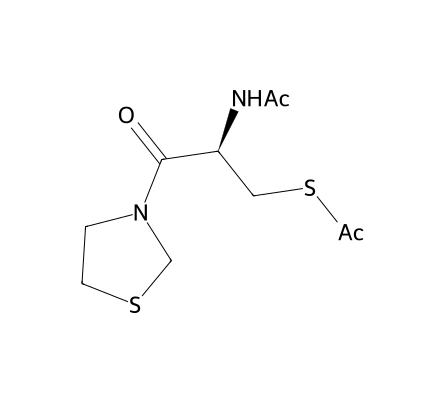 CC(=O)N[C@@H](CSC(C)=O)C(=O)N1CCSC1